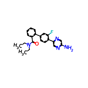 CCN(CC)C(=O)c1ccccc1-c1ccc(-c2cnc(N)cn2)c(F)c1